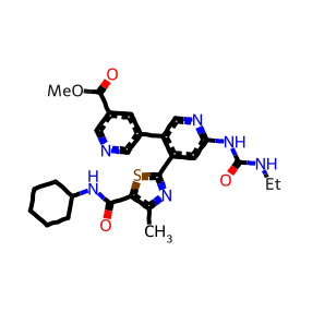 CCNC(=O)Nc1cc(-c2nc(C)c(C(=O)NC3CCCCC3)s2)c(-c2cncc(C(=O)OC)c2)cn1